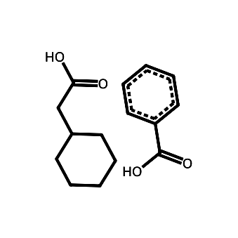 O=C(O)CC1CCCCC1.O=C(O)c1ccccc1